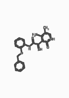 Cc1c[nH]c(=O)c(C(=N)C(=O)Nc2ccccc2OCc2ccccc2)c1N